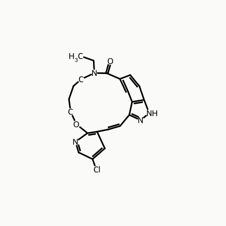 CCN1CCCCOc2ncc(Cl)cc2/C=C/c2n[nH]c3ccc(cc23)C1=O